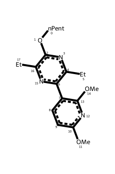 CCCCCOc1nc(CC)c(-c2ccc(OC)nc2OC)nc1CC